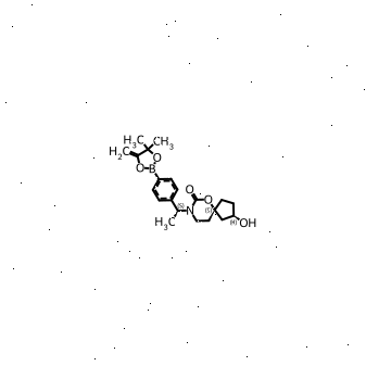 C=C1OB(c2ccc([C@H](C)N3CC[C@]4(CC[C@@H](O)C4)OC3=O)cc2)OC1(C)C